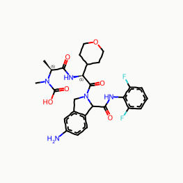 C[C@@H](C(=O)N[C@H](C(=O)N1Cc2cc(N)ccc2C1C(=O)Nc1c(F)cccc1F)C1CCOCC1)N(C)C(=O)O